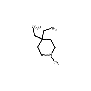 CCOC(=O)CC1(CN)CCN(C)CC1